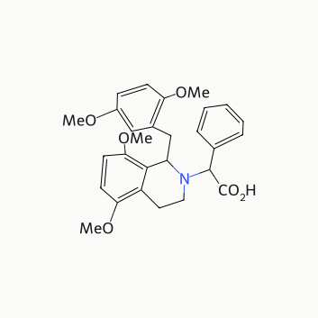 COc1ccc(OC)c(CC2c3c(OC)ccc(OC)c3CCN2C(C(=O)O)c2ccccc2)c1